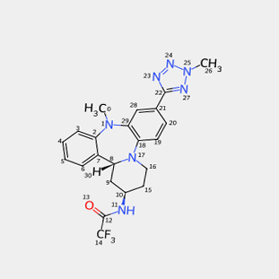 CN1c2ccccc2[C@H]2C[C@H](NC(=O)C(F)(F)F)CCN2c2ccc(-c3nnn(C)n3)cc21